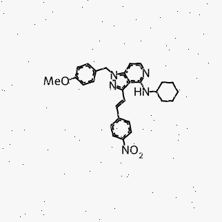 COc1ccc(Cn2nc(C=Cc3ccc([N+](=O)[O-])cc3)c3c(NC4CCCCC4)nccc32)cc1